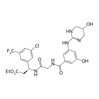 CCOC(=O)C[C@H](NC(=O)CNC(=O)c1cc(O)cc(NC2=NCC(O)CN2)c1)c1cc(Cl)cc(C(F)(F)F)c1